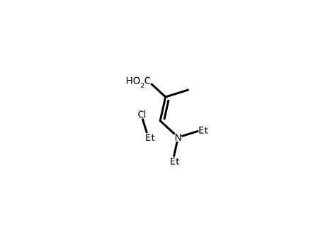 CCCl.CCN(C=C(C)C(=O)O)CC